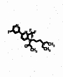 CCC(=O)N(CCCN(CC)CC)c1ccc(-c2cncc(F)c2)nc1C(F)(F)F